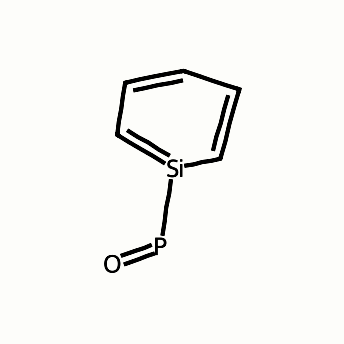 O=P[si]1ccccc1